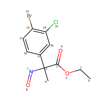 CCOC(=O)C(C)(N=O)c1ccc(Br)c(Cl)c1